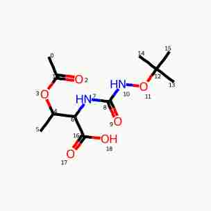 CC(=O)OC(C)C(NC(=O)NOC(C)(C)C)C(=O)O